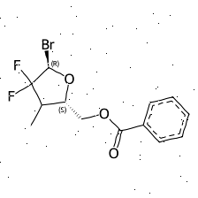 CC1[C@@H](COC(=O)c2ccccc2)O[C@H](Br)C1(F)F